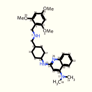 COc1cc(OC)c(CNCC2CCC(Nc3cc(N(C)C)c4ccccc4n3)CC2)c(OC)c1